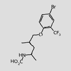 CC(COc1ccc(Br)cc1C(F)(F)F)CC(C)NC(=O)O